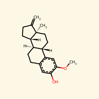 C=C1CC[C@H]2[C@@H]3CCc4cc(O)c(OC)cc4[C@H]3CC[C@]12C